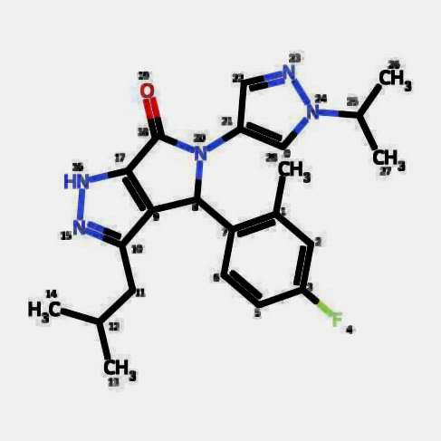 Cc1cc(F)ccc1C1c2c(CC(C)C)n[nH]c2C(=O)N1c1cnn(C(C)C)c1